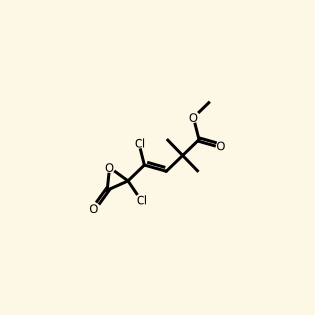 COC(=O)C(C)(C)C=C(Cl)C1(Cl)OC1=O